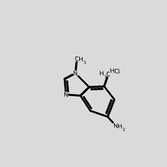 Cc1cc(N)cc2ncn(C)c12.Cl